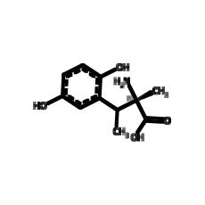 CC(c1cc(O)ccc1O)[C@](C)(N)C(=O)O